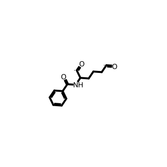 O=[C]CCCC([C]=O)NC(=O)c1ccccc1